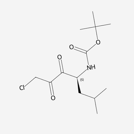 CC(C)C[C@H](NC(=O)OC(C)(C)C)C(=O)C(=O)CCl